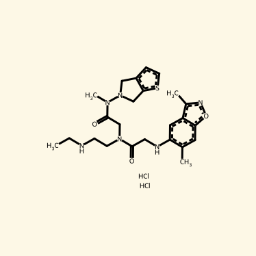 CCNCCN(CC(=O)N(C)N1Cc2ccsc2C1)C(=O)CNc1cc2c(C)noc2cc1C.Cl.Cl